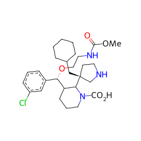 COC(=O)NCCO[C@@H](c1cccc(Cl)c1)C1CCCN(C(=O)O)C1[C@]1(CC2CCCCC2)CCNC1